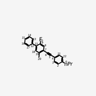 CCCc1ccc(C#Cc2cc(F)c(-c3ccccc3)cc2C)cc1